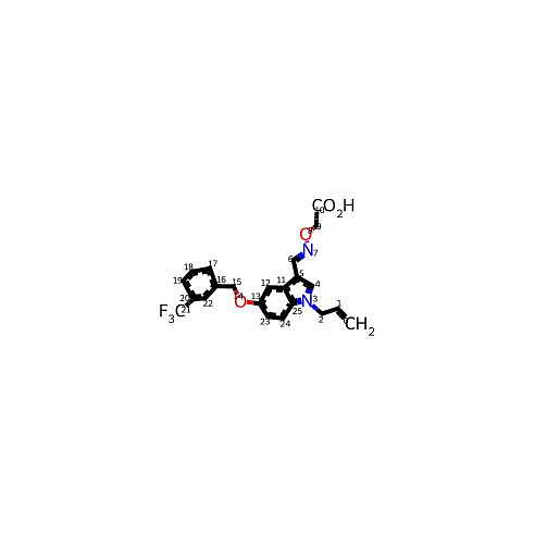 C=CCn1cc(/C=N/OCC(=O)O)c2cc(OCc3cccc(C(F)(F)F)c3)ccc21